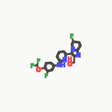 OCc1nc2ccc(F)cn2c1-c1cccc(Nc2ccc(OC(F)F)c(F)c2)n1